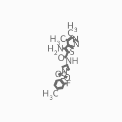 Cc1ccc(S(=O)(=O)N2CC(NC(=O)c3sc4nnc(C)c(C)c4c3N)C2)c(F)c1